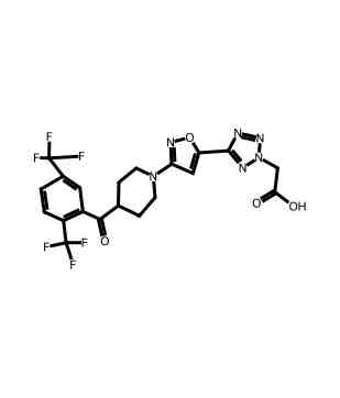 O=C(O)Cn1nnc(-c2cc(N3CCC(C(=O)c4cc(C(F)(F)F)ccc4C(F)(F)F)CC3)no2)n1